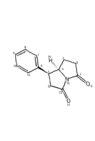 O=C1CC[C@@H]2[C@H](c3ccccc3)CC(=O)N12